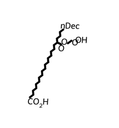 CCCCCCCCCCCCCCC(CCCCCCCCCCCCCCCCCC(=O)O)C(=O)OCCOO